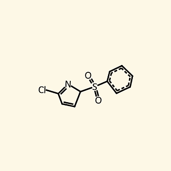 O=S(=O)(c1ccccc1)C1C=CC(Cl)=N1